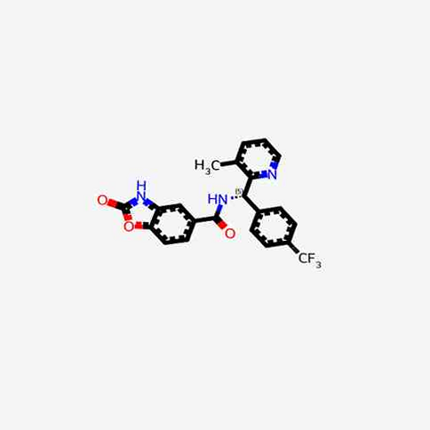 Cc1cccnc1[C@@H](NC(=O)c1ccc2oc(=O)[nH]c2c1)c1ccc(C(F)(F)F)cc1